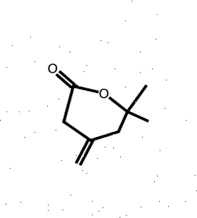 C=C1CC(=O)OC(C)(C)C1